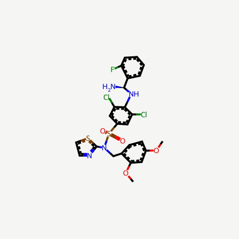 COc1ccc(CN(c2nccs2)S(=O)(=O)c2cc(Cl)c(N[C@@H](N)c3ccccc3F)c(Cl)c2)c(OC)c1